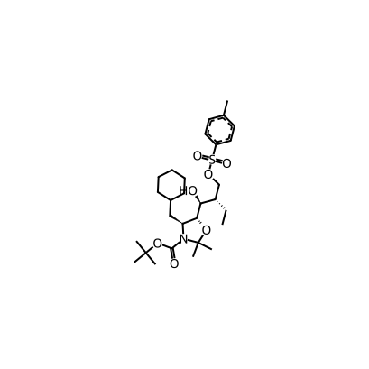 CC[C@@H](COS(=O)(=O)c1ccc(C)cc1)[C@H](O)[C@@H]1OC(C)(C)N(C(=O)OC(C)(C)C)[C@H]1CC1CCCCC1